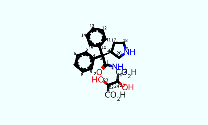 NC(=O)C(c1ccccc1)(c1ccccc1)[C@H]1CCNC1.O=C(O)C(O)C(O)C(=O)O